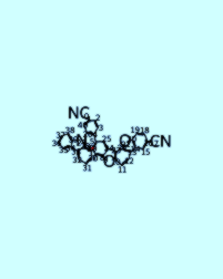 N#Cc1ccc(-c2ccc3oc4ccc5c6cc(C#N)ccc6oc5c4c3c2)c(-n2c3ccccc3c3ccccc32)c1